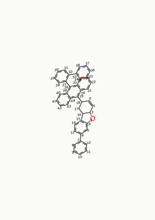 C1=CC2Oc3cc(-c4ccccc4)ccc3C2CC1c1c2ccccc2c(-c2ccccc2-c2ccccc2)c2ccccc12